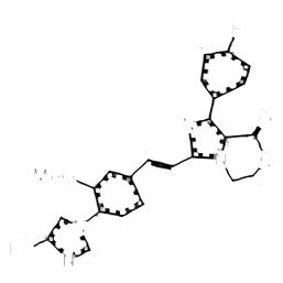 COc1cc(C=Cc2nc(-c3ccc(F)cc3)c3n2CCOC3=O)ccc1-n1cnc(C)c1